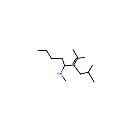 CCCCC(NC)C(CC(C)C)=C(C)C